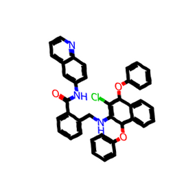 O=C(Nc1ccc2ncccc2c1)c1ccccc1CNC1=C(Cl)C(Oc2ccccc2)c2ccccc2C1Oc1ccccc1